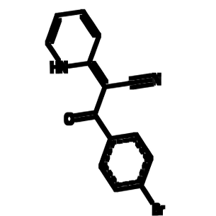 N#CC(C(=O)c1ccc(Br)cc1)=C1C=CC=CN1